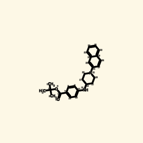 CC(C)(C)OC(=O)c1ccc(NC2CCN(c3ccc4ccccc4c3)CC2)cc1